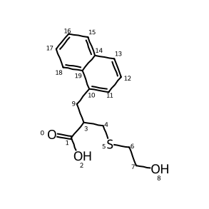 O=C(O)C(CSCCO)Cc1cccc2ccccc12